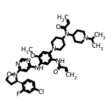 C=CC(=O)Nc1cc(Nc2cc(N3OCC[C@@H]3c3ccc(Cl)cc3F)ncn2)c(OC)cc1N1CCC(N(C(=O)C=C)C2CCN(C(C)C)CC2)CC1